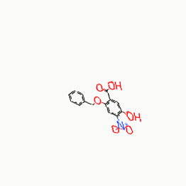 O=C(O)c1cc(O)c([N+](=O)[O-])cc1OCc1ccccc1